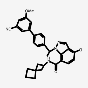 COc1cc(C#N)cc(-c2ccc(C(C)n3ncc4c(Cl)ccc(C(=O)NC5CC6(CCC6)C5)c43)cc2)c1